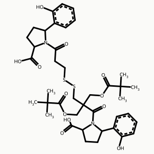 CC(C)(C)C(=O)OCC(COC(=O)C(C)(C)C)(CSSCCC(=O)N1C(C(=O)O)CCC1c1ccccc1O)C(=O)N1C(C(=O)O)CCC1c1ccccc1O